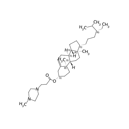 CC[C@H](CCC[C@H]1CC[C@H]2[C@@H]3CC=C4C[C@@H](OC(=O)CCN5CCN(C)CC5)CC[C@]4(C)[C@H]3CC[C@]12C)C(C)C